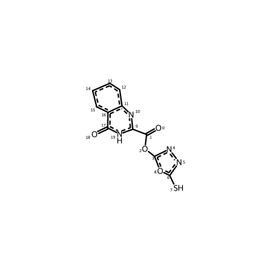 O=C(Oc1nnc(S)o1)c1nc2ccccc2c(=O)[nH]1